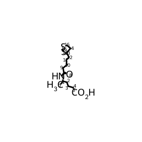 CC(CCCC(=O)O)NC(=O)CCCCC1CCSS1